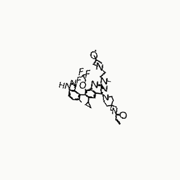 C=CC(=O)N1CC2(CCN(c3nc(N(C)CCN4CC(OC)C4)nc4c(OCC(F)(F)F)c(-c5c(C)ccc6[nH]ncc56)c(C5CC5)cc34)CC2)C1